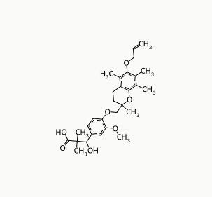 C=CCOc1c(C)c(C)c2c(c1C)CCC(C)(COc1ccc(C(O)C(C)(C)C(=O)O)cc1OC)O2